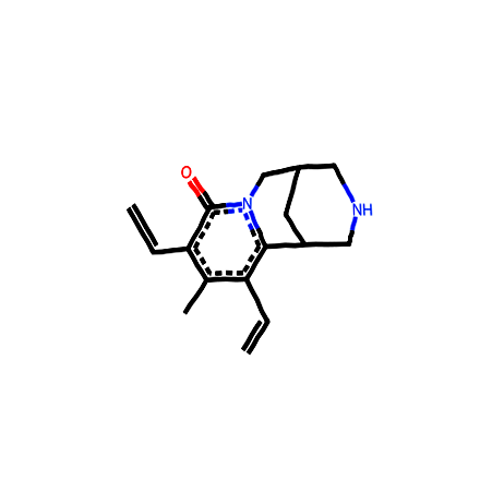 C=Cc1c(C)c(C=C)c(=O)n2c1C1CNCC(C1)C2